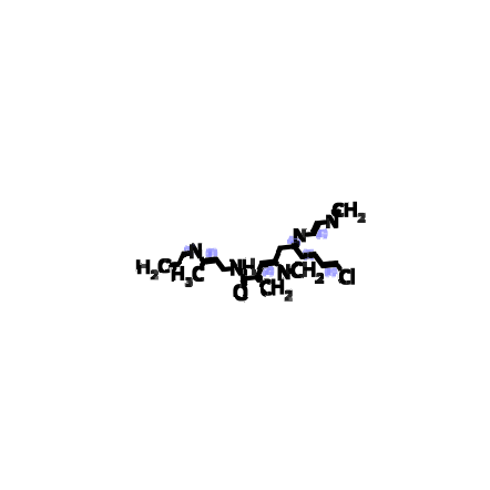 C=C/C=N\C(C)=C\CNC(=O)C(=C)/C=C(/CC(/C=C/C=C/Cl)=N/C=C/N=C)N=C